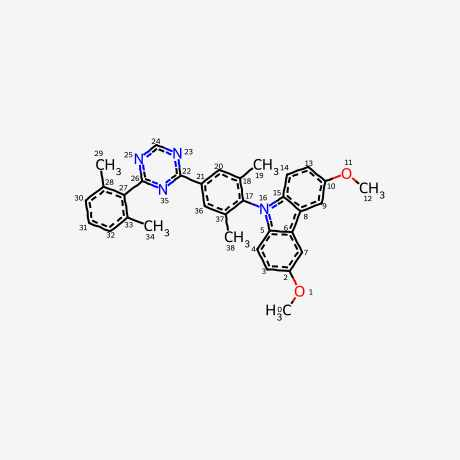 COc1ccc2c(c1)c1cc(OC)ccc1n2-c1c(C)cc(-c2ncnc(-c3c(C)cccc3C)n2)cc1C